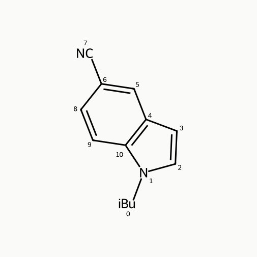 C[CH]C(C)n1ccc2cc(C#N)ccc21